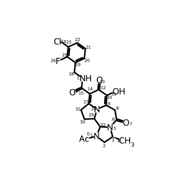 CC(=O)N1C[C@H](C)N2C(=O)Cc3c(O)c(=O)c(C(=O)NCc4cccc(Cl)c4F)c4n3C(CC4)C12